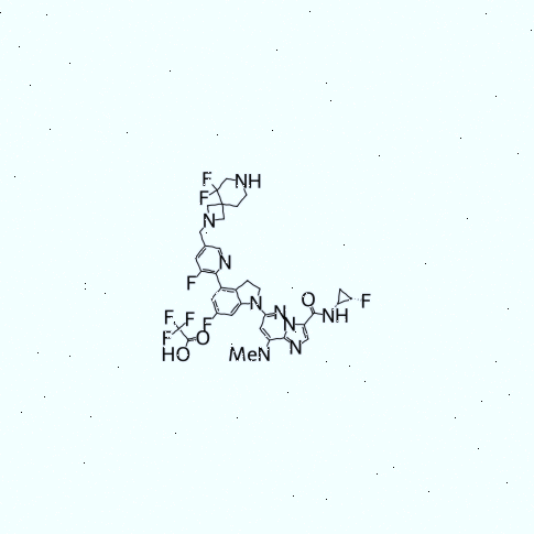 CNc1cc(N2CCc3c(-c4ncc(CN5CC6(CCNCC6(F)F)C5)cc4F)cc(F)cc32)nn2c(C(=O)N[C@@H]3C[C@@H]3F)cnc12.O=C(O)C(F)(F)F